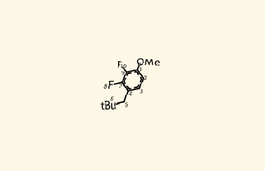 COc1ccc(CC(C)(C)C)c(F)c1F